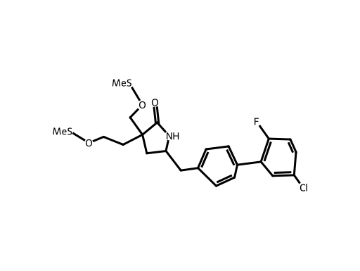 CSOCCC1(COSC)CC(Cc2ccc(-c3cc(Cl)ccc3F)cc2)NC1=O